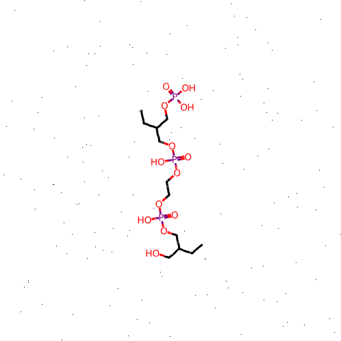 CCC(CO)COP(=O)(O)OCCOP(=O)(O)OCC(CC)COP(=O)(O)O